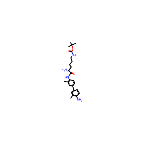 Cc1cc(-c2ccc(NC(=O)[C@@H](N)CCCCNC(=O)OC(C)(C)C)c(C)c2)ccc1N